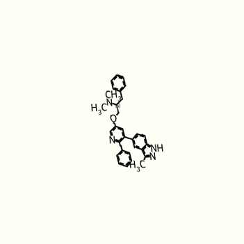 Cc1n[nH]c2ccc(-c3cc(OC[C@H](Cc4ccccc4)N(C)C)cnc3-c3ccccc3)cc12